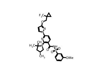 COc1cccc(S(=O)(=O)NC(=O)c2ccc(-n3ccc(OCC4(C(F)(F)F)CC4)n3)nc2N2C[C@@H](C)CC2(C)C)c1